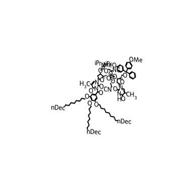 [C-]#[N+]CCOP(OC1C[C@H](n2cc(C)c(=O)n(C(=O)c3cc(OCCCCCCCCCCCCCCCCCC)c(OCCCCCCCCCCCCCCCCCC)c(OCCCCCCCCCCCCCCCCCC)c3)c2=O)O[C@@H]1COP(=O)(OCC[N+]#[C-])OC1C[C@H](n2cc(C)c(=O)[nH]c2=O)O[C@@H]1COC(c1ccccc1)(c1ccc(OC)cc1)c1ccc(OC)cc1)N(C(C)C)C(C)C